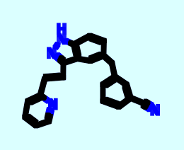 N#Cc1cccc(Cc2ccc3[nH]nc(C=Cc4ccccn4)c3c2)c1